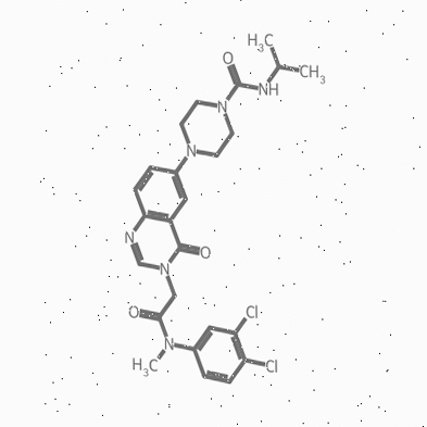 CC(C)NC(=O)N1CCN(c2ccc3ncn(CC(=O)N(C)c4ccc(Cl)c(Cl)c4)c(=O)c3c2)CC1